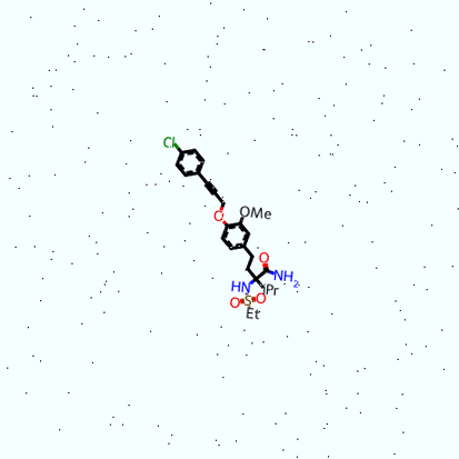 CCS(=O)(=O)NC(CCc1ccc(OCC#Cc2ccc(Cl)cc2)c(OC)c1)(C(N)=O)C(C)C